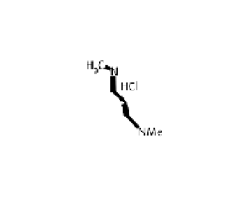 CN=CC=CNC.Cl